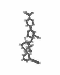 CC(=O)N1CCN(c2ccc(CN3[C@@H](C)CCC(c4cccc(C#N)c4)S3(=O)=O)c(F)c2)CC1